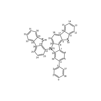 c1ccc(-c2ccc3c4c5sc6ccccc6c5ccc4n(-c4cccc5c4sc4ccccc45)c3c2)cc1